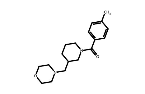 Cc1ccc(C(=O)N2CCCC(CN3CCOCC3)C2)cc1